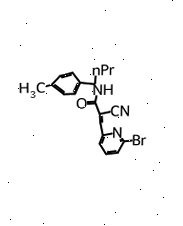 CCCC(NC(=O)/C(C#N)=C/c1cccc(Br)n1)c1ccc(C)cc1